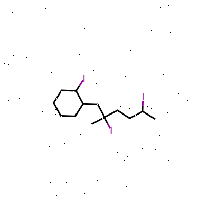 CC(I)CCC(C)(I)CC1CCCCC1I